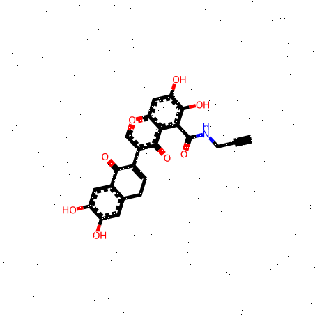 C#CCNC(=O)c1c(O)c(O)cc2occ(C3=CCc4cc(O)c(O)cc4C3=O)c(=O)c12